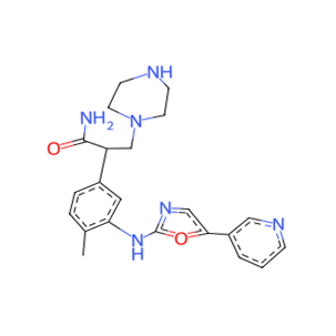 Cc1ccc(C(CN2CCNCC2)C(N)=O)cc1Nc1ncc(-c2cccnc2)o1